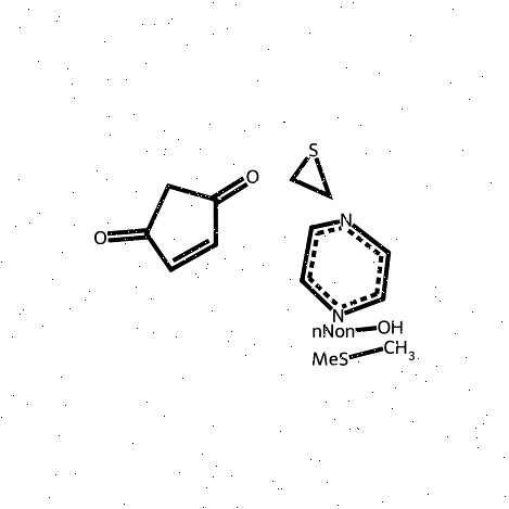 C1CS1.CCCCCCCCCO.CSC.O=C1C=CC(=O)C1.c1cnccn1